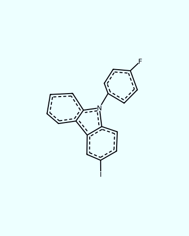 Fc1ccc(-n2c3ccccc3c3cc(I)ccc32)cc1